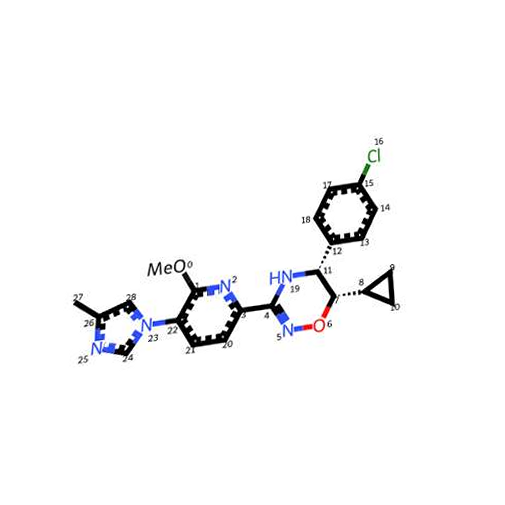 COc1nc(C2=NO[C@@H](C3CC3)[C@@H](c3ccc(Cl)cc3)N2)ccc1-n1cnc(C)c1